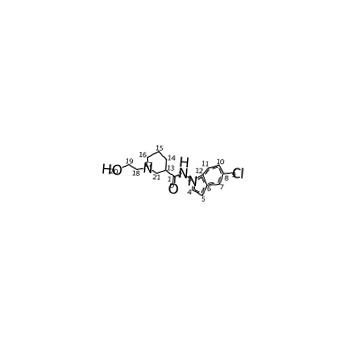 O=C(Nn1ccc2cc(Cl)ccc21)C1CCCN(CCO)C1